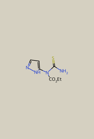 CCOC(=O)N(C(N)=S)c1ccn[nH]1